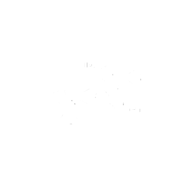 CC(C)(C)c1ccc2c(-c3ccc(-n4c5ccccc5c5ccccc54)cc3)c3cc(C(C)(C)C)ccc3c(-c3ccccc3)c2c1